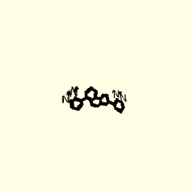 Cn1cnc2cccc(-c3ccc4c(ccc5c(-c6cccc7ncn(C)c67)cccc54)c3)c21